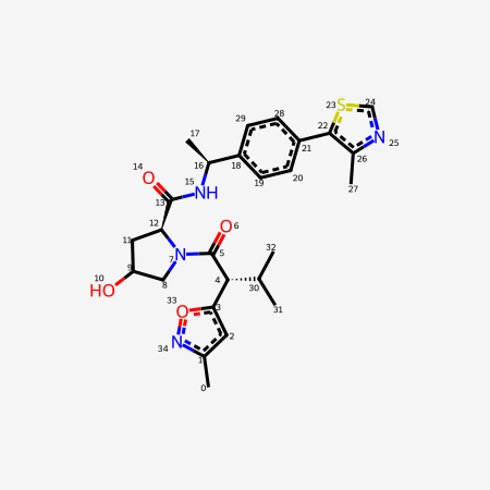 Cc1cc([C@H](C(=O)N2CC(O)C[C@H]2C(=O)N[C@@H](C)c2ccc(-c3scnc3C)cc2)C(C)C)on1